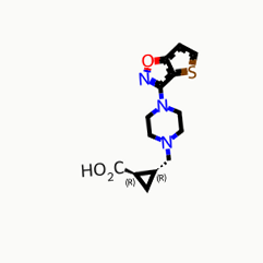 O=C(O)[C@@H]1C[C@H]1CN1CCN(c2noc3ccsc23)CC1